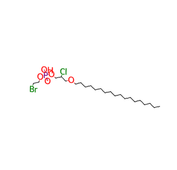 CCCCCCCCCCCCCCCCCCOCC(Cl)COP(=O)(O)OCCBr